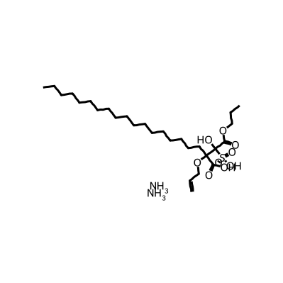 C=CCOC(CCCCCCCCCCCCCCCCCC)(C(=O)O)C(O)(C(=O)OCCC)S(=O)(=O)O.N.N